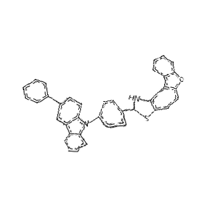 c1ccc(-c2ccc3c(c2)c2ccccc2n3-c2ccc(C3Nc4c(ccc5oc6ccccc6c45)S3)cc2)cc1